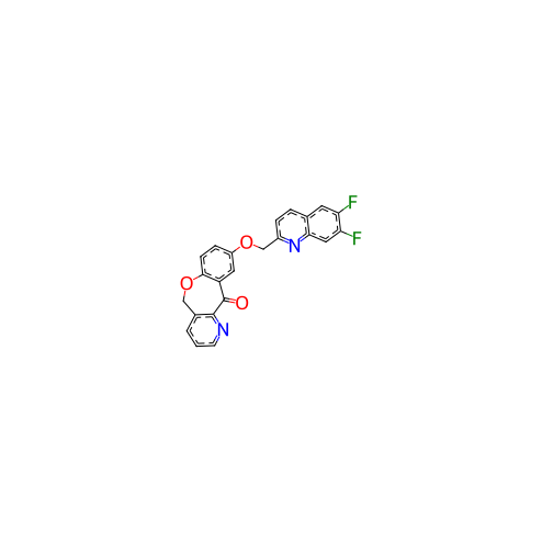 O=C1c2cc(OCc3ccc4cc(F)c(F)cc4n3)ccc2OCc2cccnc21